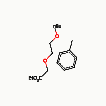 CCCCOCCOCC(=O)OCC.Cc1ccccc1